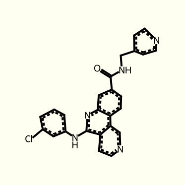 O=C(NCc1ccncc1)c1ccc2c(c1)nc(Nc1cccc(Cl)c1)c1ccncc12